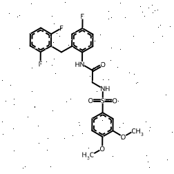 COc1ccc(S(=O)(=O)NCC(=O)Nc2ccc(F)cc2Cc2c(F)cccc2F)cc1OC